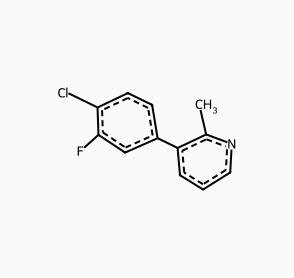 Cc1ncccc1-c1ccc(Cl)c(F)c1